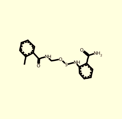 Cc1ccccc1C(=O)NCOSNc1ccccc1C(N)=O